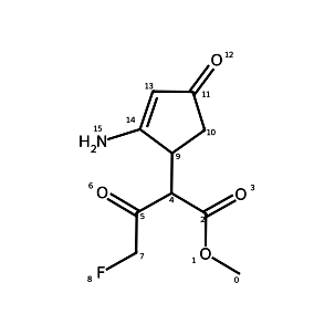 COC(=O)C(C(=O)CF)C1CC(=O)C=C1N